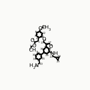 CCOC(=O)Cc1ccc(OC)cc1OCc1coc2c(NCC3CC3)cc(-c3cccc(CN)c3)cc12